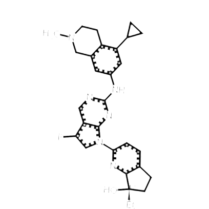 CC[C@]1(O)CCc2ccc(-n3cc(F)c4cnc(Nc5cc6c(c(C7CC7)c5)CCN(C)C6)nc43)nc21